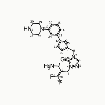 NCC(Cn1ncn(Cc2ccc(-c3cccc(N4CCNCC4)c3)s2)c1=O)=C(F)F